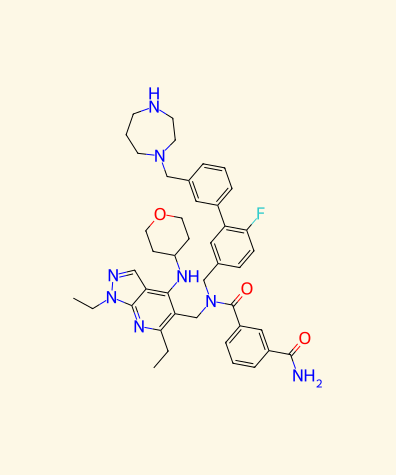 CCc1nc2c(cnn2CC)c(NC2CCOCC2)c1CN(Cc1ccc(F)c(-c2cccc(CN3CCCNCC3)c2)c1)C(=O)c1cccc(C(N)=O)c1